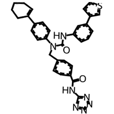 O=C(Nc1nn[nH]n1)c1ccc(CN(C(=O)Nc2cccc(-c3ccsc3)c2)c2ccc(C3=CCCCC3)cc2)cc1